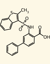 Cc1sc2ccccc2c1S(=O)(=O)Nc1cc(-c2ccccc2)ccc1C(=O)O